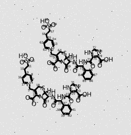 O=C([O-])C1=C(C[n+]2ccc(CCS(=O)(=O)O)cc2)CS[C@@H]2[C@H](NC(=O)[C@H](NC(=O)c3[nH]cnc3C(=O)O)c3ccccc3)C(=O)N12.O=C([O-])C1=C(C[n+]2ccc(CCS(=O)(=O)O)cc2)CS[C@@H]2[C@H](NC(=O)[C@H](NC(=O)c3[nH]cnc3C(=O)O)c3ccccc3)C(=O)N12